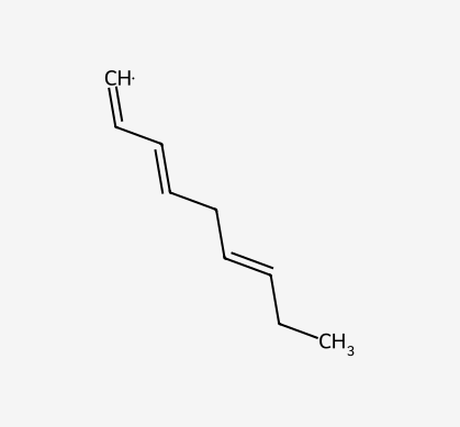 [CH]=C/C=C/C/C=C/CC